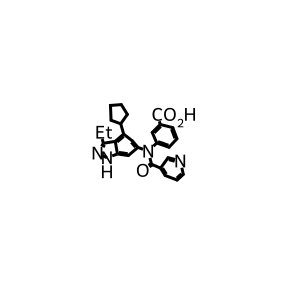 CCc1n[nH]c2cc(N(C(=O)c3cccnc3)c3cccc(C(=O)O)c3)cc(C3CCCC3)c12